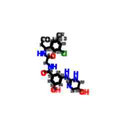 O=C(O)CC(NC(=O)CNC(=O)c1cc(O)cc(NC2=NCC(O)CN2)c1)c1cc(Cl)cc(C(F)(F)F)c1